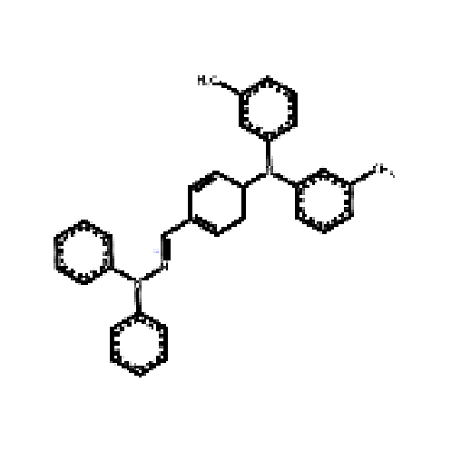 Cc1cccc(N(c2cccc(C)c2)C2C=CC(/C=N/N(c3ccccc3)c3ccccc3)=CC2)c1